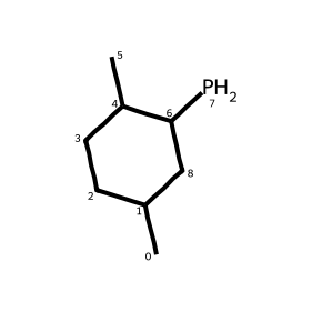 CC1CCC(C)C(P)C1